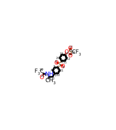 C[C@@H](Cc1ccc(S(=O)(=O)c2ccc(OS(=O)(=O)C(F)(F)F)cc2)cc1)NC(=O)C(F)(F)F